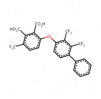 O=C(O)c1c(Oc2ccc(-c3ccccc3)c(C(F)(F)F)c2C(F)(F)F)ccc(C(F)(F)F)c1C(=O)O